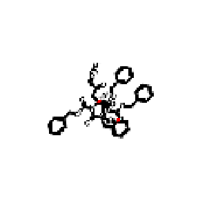 CC(C)(C)OC(=O)[C@](N)(CC(=O)C=[N+]=[N-])N(C(=O)OCc1ccccc1)C(=O)[C@H](Cc1ccccc1)N(C(=O)OCc1ccccc1)C(=O)OCc1ccccc1